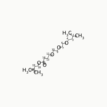 CC(C)CCOCCOCCOCCCC(=O)OCCC(C)C